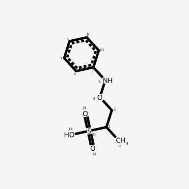 CC(CONc1ccccc1)S(=O)(=O)O